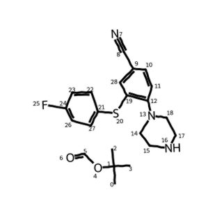 CC(C)(C)OC=O.N#Cc1ccc(N2CCNCC2)c(Sc2ccc(F)cc2)c1